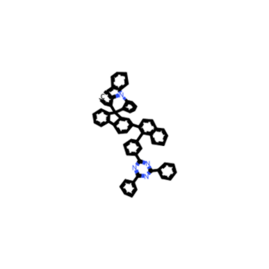 c1ccc(-c2nc(-c3ccccc3)nc(-c3cccc(-c4c(-c5ccc6c(c5)C5(c7ccccc7-6)c6ccccc6-n6c7ccccc7c7cccc5c76)ccc5ccccc45)c3)n2)cc1